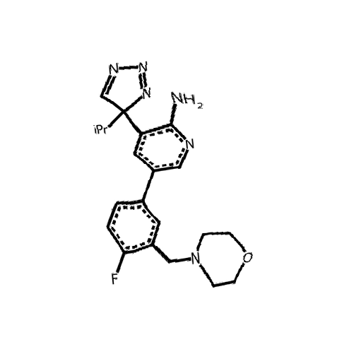 CC(C)C1(c2cc(-c3ccc(F)c(CN4CCOCC4)c3)cnc2N)C=NN=N1